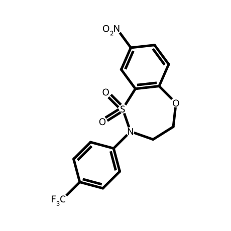 O=[N+]([O-])c1ccc2c(c1)S(=O)(=O)N(c1ccc(C(F)(F)F)cc1)CCO2